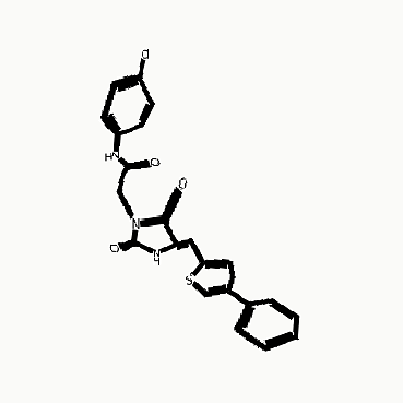 O=C(CN1C(=O)N/C(=C\c2cc(-c3ccccc3)cs2)C1=O)Nc1ccc(Cl)cc1